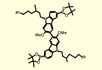 COc1cc2c(cc1-c1cc3c4cc(B5OC(C)(C)C(C)(C)O5)ccc4n(CCC(C)CCCC(C)C)c3cc1OC)c1cc(B3OC(C)(C)C(C)(C)O3)ccc1n2CCC(C)CCCC(C)C